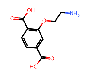 NCCOc1cc(C(=O)O)ccc1C(=O)O